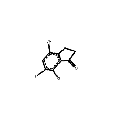 O=C1CCc2c(Br)cc(F)c(Cl)c21